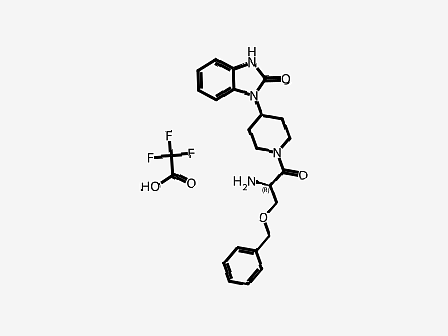 N[C@H](COCc1ccccc1)C(=O)N1CCC(n2c(=O)[nH]c3ccccc32)CC1.O=C(O)C(F)(F)F